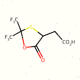 O=C(O)CC1SC(C(F)(F)F)(C(F)(F)F)OC1=O